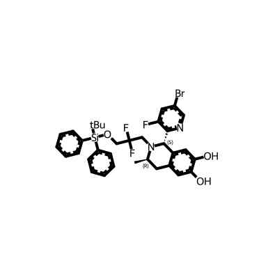 C[C@@H]1Cc2cc(O)c(O)cc2[C@@H](c2ncc(Br)cc2F)N1CC(F)(F)CO[Si](c1ccccc1)(c1ccccc1)C(C)(C)C